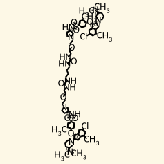 Cc1cc(S(=O)(=O)N[C@@H]2CCN(CCOCCNC(=O)NCCCCNC(=O)NCCOCCN3CC[C@@H](NS(=O)(=O)c4ccc(O[C@H]5c6cc(Cl)cc(C)c6C[C@@H]5N5CCC[C@@H](N(C)C)C5)c(C)c4)C3)C2)ccc1O[C@H]1c2cc(Cl)cc(C)c2C[C@@H]1N1CCC[C@@H](N(C)C)C1